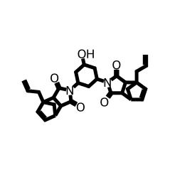 C=CCC12C=CC(C1)C1C(=O)N(C3CC(O)CC(N4C(=O)C5C6C=CC(CC=C)(C6)C5C4=O)C3)C(=O)C12